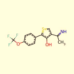 CC(=N)c1csc(-c2ccc(OC(F)(F)F)cc2)c1O